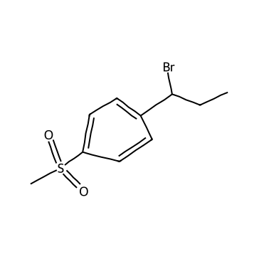 CCC(Br)c1ccc(S(C)(=O)=O)cc1